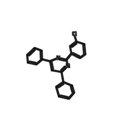 Clc1cccc(-c2nc(-c3ccccc3)cc(-c3ccccc3)n2)c1